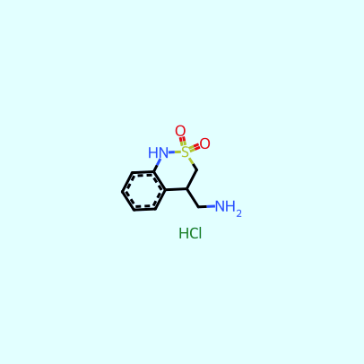 Cl.NCC1CS(=O)(=O)Nc2ccccc21